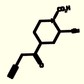 C#CCC(=O)C1CCN(C(=O)O)C(C(C)(C)C)C1